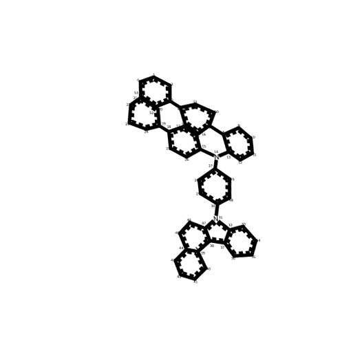 c1ccc(-c2ccc(-c3ccccc3N(c3ccc(-c4ccccc4)cc3)c3ccc(-n4c5ccccc5c5c6ccccc6ccc54)cc3)cc2)cc1